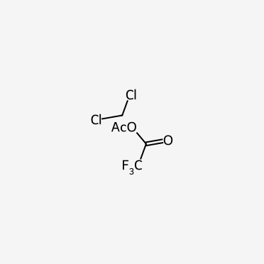 CC(=O)OC(=O)C(F)(F)F.ClCCl